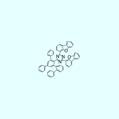 c1ccc(-c2cc(-c3ccccc3)c(-c3nc(-c4cccc5c4oc4ccccc45)nc(-c4cccc5c4oc4ccccc45)n3)c(-c3ccccc3-c3ccccc3)c2)cc1